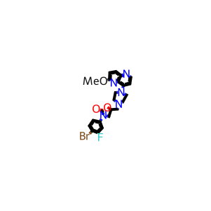 COc1ccc2nccc(N3CCN(CC4CN(c5ccc(Br)c(F)c5)C(=O)O4)CC3)c2n1